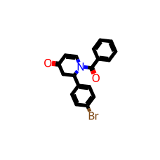 O=C1C=CN(C(=O)c2ccccc2)C(c2ccc(Br)cc2)C1